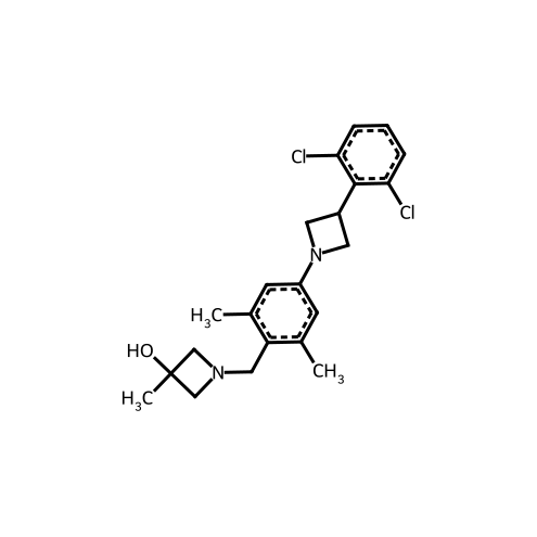 Cc1cc(N2CC(c3c(Cl)cccc3Cl)C2)cc(C)c1CN1CC(C)(O)C1